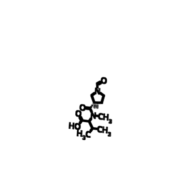 CC(C)C(C(=O)O)N(C)C(=O)[C@H]1CCN(C=O)C1